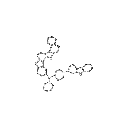 c1ccc(N(c2ccc(-c3ccc4c(c3)oc3ccccc34)cc2)c2ccc3sc4ccc5c(oc6ccc7ccccc7c65)c4c3c2)cc1